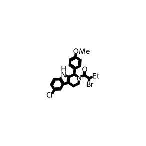 CCC(Br)C(=O)N1CCc2c([nH]c3ccc(Cl)cc23)C1c1ccc(OC)cc1